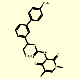 COc1ccc(-c2cccc(C(CC(=O)O)NC(=O)NC3C(=O)C(C)=CN(C)C3=O)c2)cc1